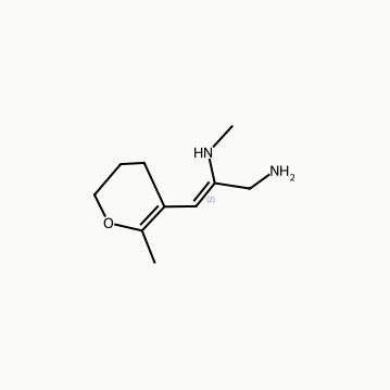 CN/C(=C\C1=C(C)OCCC1)CN